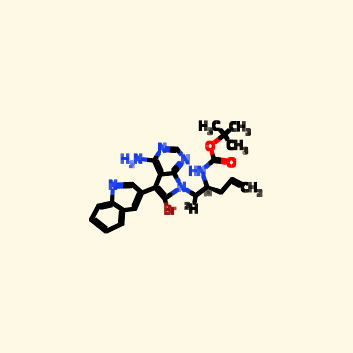 [2H]C([C@H](CC=C)NC(=O)OC(C)(C)C)n1c(Br)c(-c2cnc3ccccc3c2)c2c(N)ncnc21